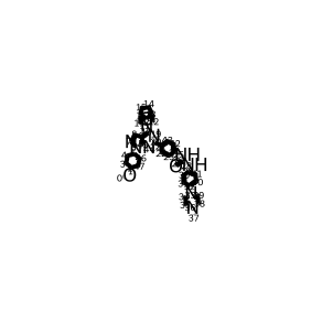 COC1CCC(n2ncc3c(N4CC5CCC(C4)O5)nc(-c4ccc(NC(=O)Nc5ccc(N6CCN(C)CC6)cc5)cc4)nc32)CC1